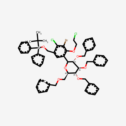 CC(C)(C)[Si](OCc1cc(C2O[C@H](COCc3ccccc3)[C@@H](OCc3ccccc3)[C@H](OCc3ccccc3)[C@H]2OCc2ccccc2)c(OCCCl)c(Br)c1Cl)(c1ccccc1)c1ccccc1